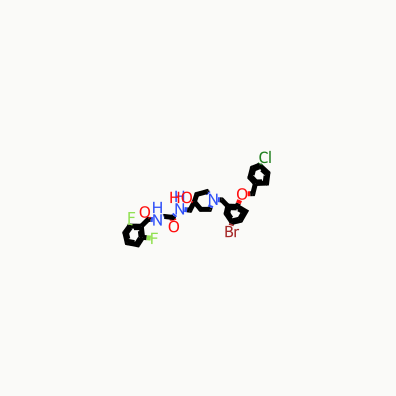 O=C(CNC(=O)c1c(F)cccc1F)NCC1(O)CCN(Cc2cc(Br)ccc2OCc2ccc(Cl)cc2)CC1